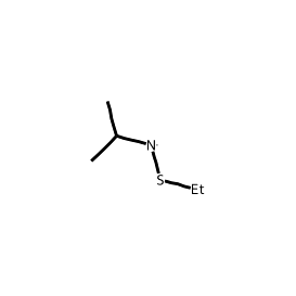 CCS[N]C(C)C